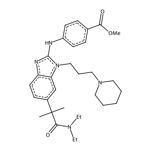 CCN(CC)C(=O)C(C)(C)c1ccc2nc(Nc3ccc(C(=O)OC)cc3)n(CCCN3CCCCC3)c2c1